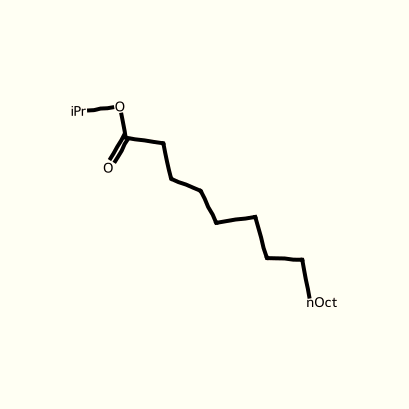 [CH2]C(C)OC(=O)CCCCCCCCCCCCCCC